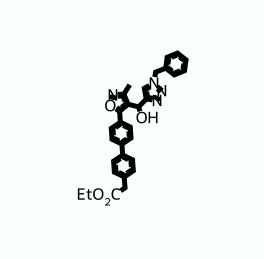 CCOC(=O)Cc1ccc(-c2ccc(-c3onc(C)c3C(O)c3cn(Cc4ccccc4)nn3)cc2)cc1